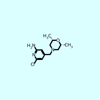 C[C@@H]1CN(Cc2cc(N)nc(Cl)c2)C[C@H](C)O1